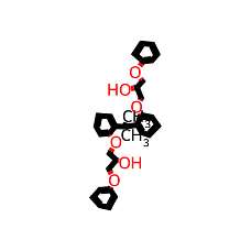 CC(C)(c1ccccc1OCC(O)COc1ccccc1)c1ccccc1OCC(O)COc1ccccc1